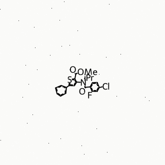 COC(=O)c1sc(-c2ccccc2)cc1N(C(=O)c1ccc(Cl)cc1F)C(C)C